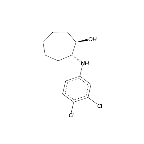 O[C@@H]1CCCCC[C@H]1Nc1ccc(Cl)c(Cl)c1